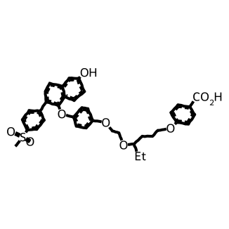 CCC(CCCOc1ccc(C(=O)O)cc1)OCCOc1ccc(Oc2c(-c3ccc(S(C)(=O)=O)cc3)ccc3cc(O)ccc23)cc1